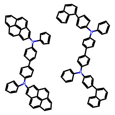 c1ccc(N(c2ccc(-c3ccc(N(c4ccccc4)c4cc5ccc6cccc7ccc(c4)c5c67)cc3)cc2)c2cc3ccc4cccc5ccc(c2)c3c45)cc1.c1ccc(N(c2ccc(-c3ccc(N(c4ccccc4)c4ccc(-c5cccc6ccccc56)cc4)cc3)cc2)c2ccc(-c3cccc4ccccc34)cc2)cc1